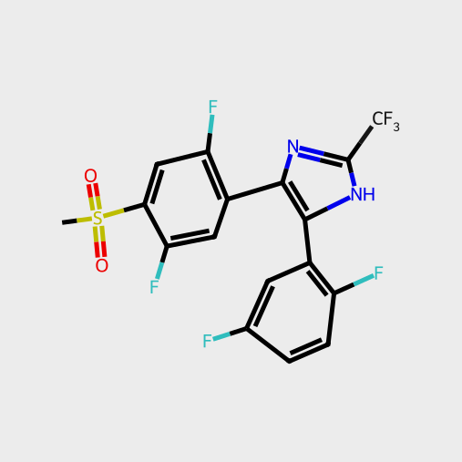 CS(=O)(=O)c1cc(F)c(-c2nc(C(F)(F)F)[nH]c2-c2cc(F)ccc2F)cc1F